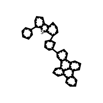 c1ccc(-c2cccc3c2sc2c(-c4cccc(-c5ccc6c(c5)c5cccc7c8ccccc8c8cccc6c8c75)c4)cccc23)cc1